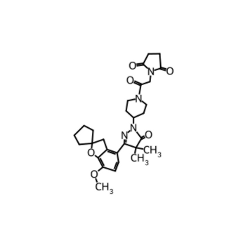 COc1ccc(C2=NN(C3CCN(C(=O)CN4C(=O)CCC4=O)CC3)C(=O)C2(C)C)c2c1OC1(CCCC1)C2